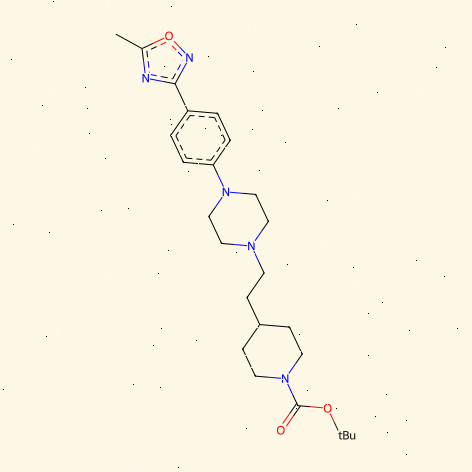 Cc1nc(-c2ccc(N3CCN(CCC4CCN(C(=O)OC(C)(C)C)CC4)CC3)cc2)no1